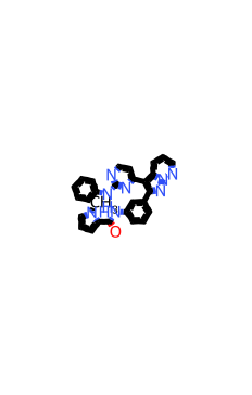 Cn1cccc1C(=O)Nc1cccc(-c2nn3ncccc3c2-c2ccnc(Nc3ccccc3)n2)c1